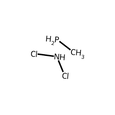 CP.ClNCl